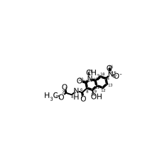 COC(=O)CNC(=O)c1c(O)c2ccc([N+](=O)[O-])cc2n(C)c1=O